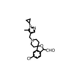 Cc1c(CN2CCC3(CC2)OC(C=O)c2ccc(Cl)cc23)cnn1C1CC1